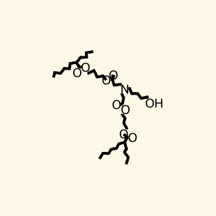 CCCCCCC(CCCC)C(=O)OCCCCOC(=O)CCN(CCCCCO)CCC(=O)OCCCCOC(=O)C(CCCC)CCCCCC